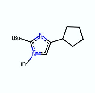 CC(C)n1cc(C2CCCC2)nc1C(C)(C)C